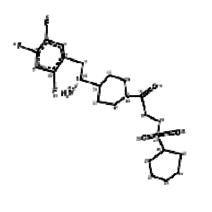 N[C@H](Cc1cc(F)c(F)cc1F)C1CCN(C(=O)CCS(=O)(=O)C2CCCCC2)CC1